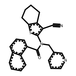 N#Cc1c(N(Cc2cccnc2)C(=O)c2cccc3ccccc23)sc2c1CCCC2